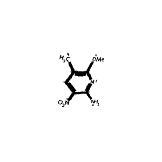 COc1nc(N)c([N+](=O)[O-])cc1C